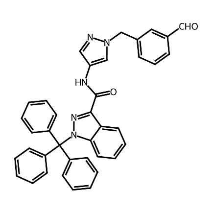 O=Cc1cccc(Cn2cc(NC(=O)c3nn(C(c4ccccc4)(c4ccccc4)c4ccccc4)c4ccccc34)cn2)c1